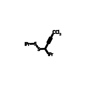 CC(C)SSC(C#CC(Cl)(Cl)Cl)C(C)C